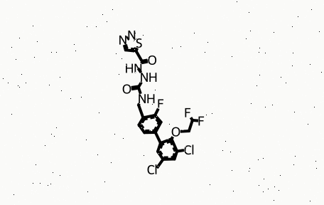 O=C(NCc1ccc(-c2cc(Cl)cc(Cl)c2OCC(F)F)cc1F)NNC(=O)c1cnns1